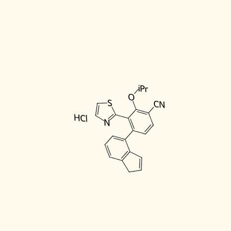 CC(C)Oc1c(C#N)ccc(-c2cccc3c2C=CC3)c1-c1nccs1.Cl